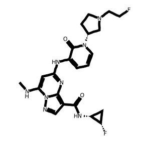 CNc1cc(Nc2cccn([C@@H]3CCN(CCF)C3)c2=O)nc2c(C(=O)N[C@@H]3C[C@@H]3F)cnn12